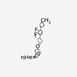 CCCCCCOc1ccc(OCC2CCC(c3ccc(-c4ccc(C)cc4)c(F)c3F)CC2)cc1F